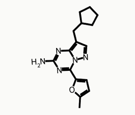 Cc1ccc(-c2nc(N)nc3c(CC4CCCC4)cnn23)o1